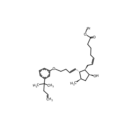 C=CCC(C)(C)c1cccc(OCC/C=C/[C@@H]2[C@@H](C/C=C\CCCC(=O)OC(C)C)[C@@H](O)C[C@H]2C)c1